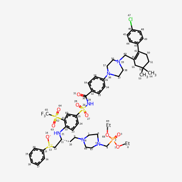 CCOP(=O)(CN1CCN(CC[C@H](C[S+]([O-])c2ccccc2)Nc2ccc(S(=O)(=O)NC(=O)c3ccc(N4CCN(CC5=C(c6ccc(Cl)cc6)CCC(C)(C)C5)CC4)cc3)cc2S(=O)(=O)C(F)(F)F)CC1)OCC